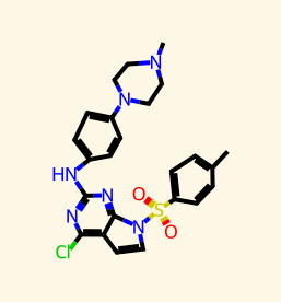 Cc1ccc(S(=O)(=O)n2ccc3c(Cl)nc(Nc4ccc(N5CCN(C)CC5)cc4)nc32)cc1